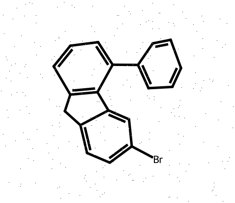 Brc1ccc2c(c1)-c1c(cccc1-c1ccccc1)C2